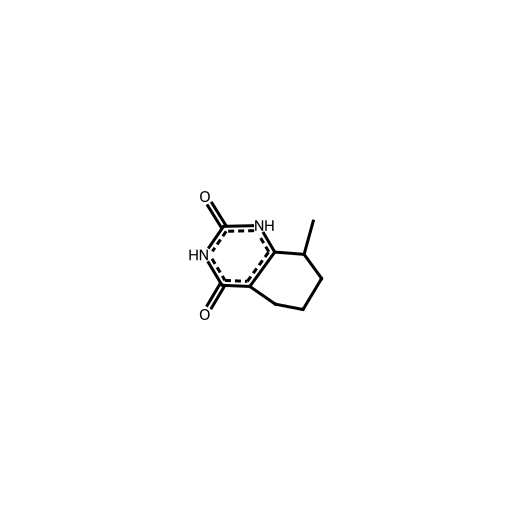 CC1CCCc2c1[nH]c(=O)[nH]c2=O